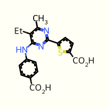 CCc1c(C)nc(-c2ccc(C(=O)O)s2)nc1Nc1ccc(C(=O)O)cc1